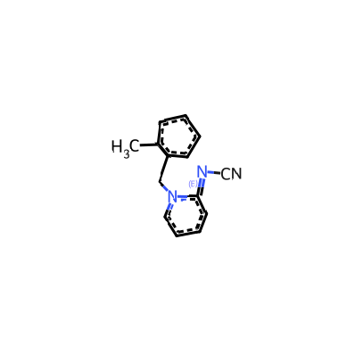 Cc1ccccc1Cn1cccc/c1=N\C#N